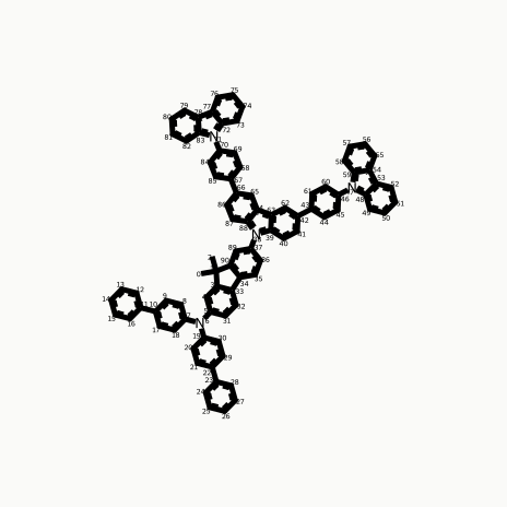 CC1(C)c2cc(N(c3ccc(-c4ccccc4)cc3)c3ccc(-c4ccccc4)cc3)ccc2-c2ccc(-n3c4ccc(-c5ccc(-n6c7ccccc7c7ccccc76)cc5)cc4c4cc(-c5ccc(-n6c7ccccc7c7ccccc76)cc5)ccc43)cc21